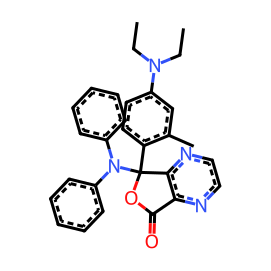 CCN(CC)c1ccc(C2(N(c3ccccc3)c3ccccc3)OC(=O)c3nccnc32)c(C)c1